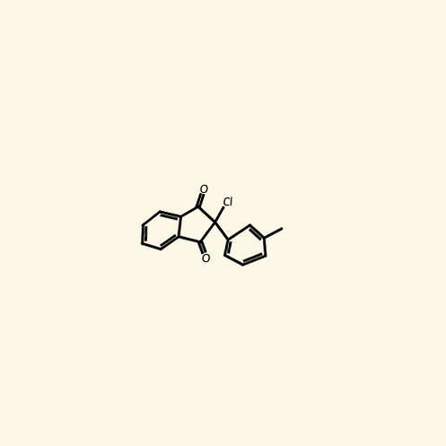 Cc1cccc(C2(Cl)C(=O)c3ccccc3C2=O)c1